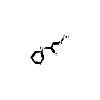 O=C(C=NO)Nc1ccccc1